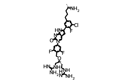 C[C@H](N)CCCc1cc(Cl)c(F)c(-c2cc3cn(-c4cc(F)c(CO[C@H](CCNC(=N)N)CNC(=N)N)c(F)c4)c(=O)nc3[nH]2)c1